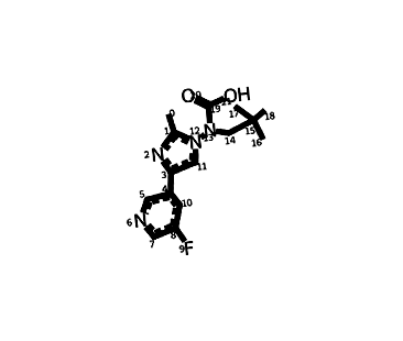 Cc1nc(-c2cncc(F)c2)cn1N(CC(C)(C)C)C(=O)O